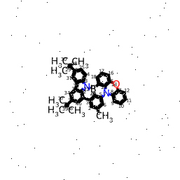 Cc1cc2c3c(c1)N1c4ccccc4Oc4cccc(c41)B3n1c3ccc(C(C)(C)C)cc3c3cc(C(C)(C)C)cc-2c31